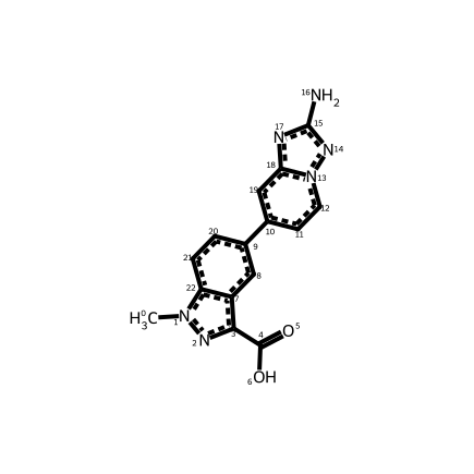 Cn1nc(C(=O)O)c2cc(-c3ccn4nc(N)nc4c3)ccc21